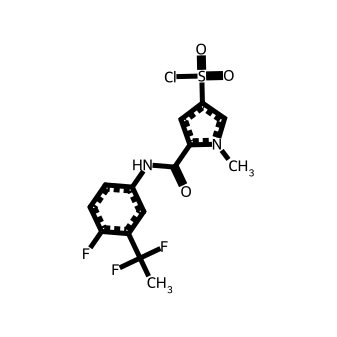 Cn1cc(S(=O)(=O)Cl)cc1C(=O)Nc1ccc(F)c(C(C)(F)F)c1